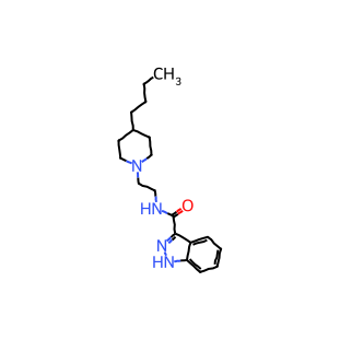 CCCCC1CCN(CCNC(=O)c2n[nH]c3ccccc23)CC1